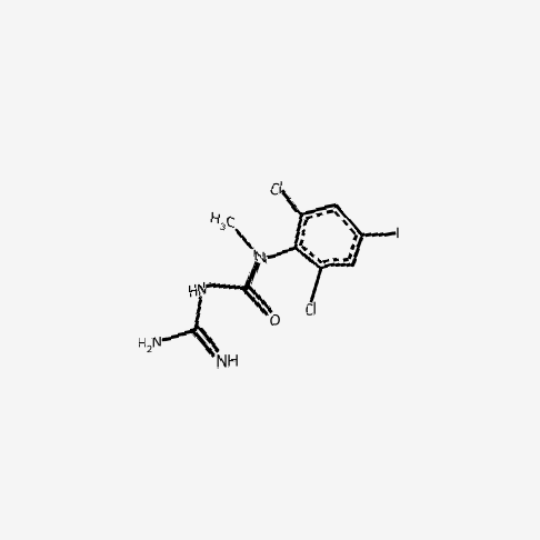 CN(C(=O)NC(=N)N)c1c(Cl)cc(I)cc1Cl